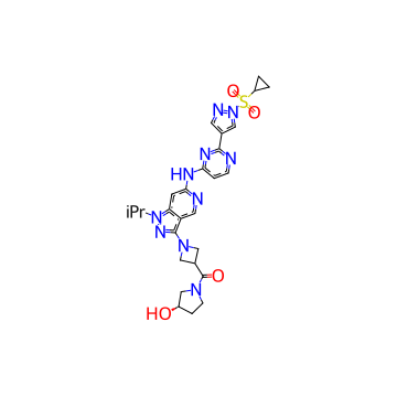 CC(C)n1nc(N2CC(C(=O)N3CC[C@@H](O)C3)C2)c2cnc(Nc3ccnc(-c4cnn(S(=O)(=O)C5CC5)c4)n3)cc21